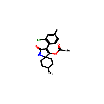 Cc1ccc(C2=C(OC(=O)C(C)(C)C)C3(CCC(C(F)(F)F)CC3)NC2=O)c(Cl)c1